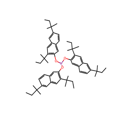 CCC(C)(C)c1ccc2cc(OP(Oc3cc4ccc(C(C)(C)CC)cc4cc3C(C)(C)CC)Oc3cc4ccc(C(C)(C)CC)cc4cc3C(C)(C)CC)c(C(C)(C)CC)cc2c1